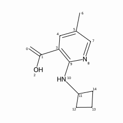 C=C(O)c1cc(C)cnc1NC1CCC1